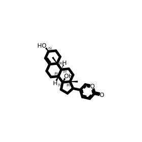 C[C@]12CC[C@H](O)C=C1CC[C@@H]1[C@@H]2CC[C@]2(C)C(c3ccc(=O)oc3)CC[C@]12O